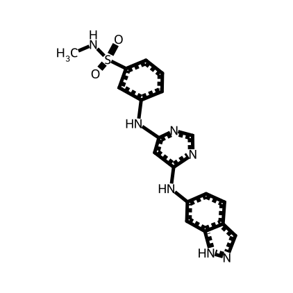 CNS(=O)(=O)c1cccc(Nc2cc(Nc3ccc4cn[nH]c4c3)ncn2)c1